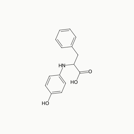 O=C(O)C(Cc1ccccc1)Nc1ccc(O)cc1